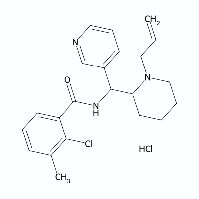 C=CCN1CCCCC1C(NC(=O)c1cccc(C)c1Cl)c1cccnc1.Cl